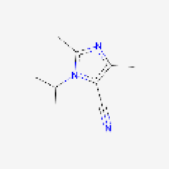 Cc1nc(C)n(C(C)C)c1C#N